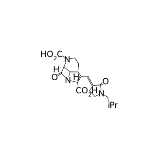 CC(C)CN1CC/C(=C\C2=C(C(=O)O)N3C(=O)[C@@H]4[C@H]3C2CCN4C(=O)O)C1=O